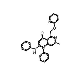 Cc1cc2c(c(COc3ccccn3)n1)c(=O)cc(Nc1ccccc1)n2-c1ccccc1